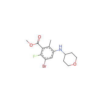 COC(=O)c1c(C)c(NC2CCOCC2)cc(Br)c1F